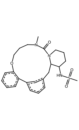 CN1CCCOc2ccccc2-c2cccc(c2)CC2C(NS(C)(=O)=O)CCCN2C1=O